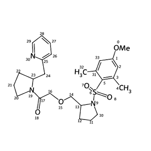 COc1cc(C)c(S(=O)(=O)N2CCCC2COCC(=O)N2CCCC2Cc2ccccn2)c(C)c1